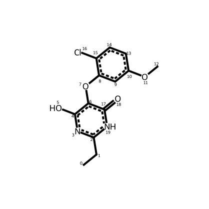 CCc1nc(O)c(Oc2cc(OC)ccc2Cl)c(=O)[nH]1